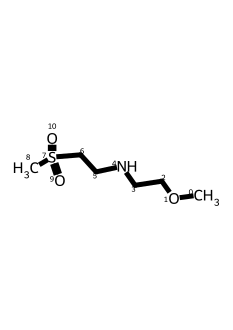 COCCNCCS(C)(=O)=O